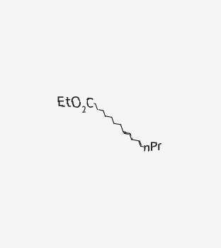 CCCC=CCC=CCCCCCCCC(=O)OCC